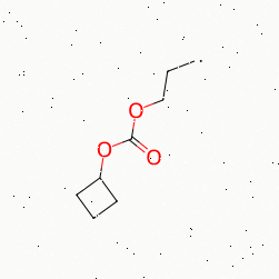 [CH2]CCOC(=O)OC1CCC1